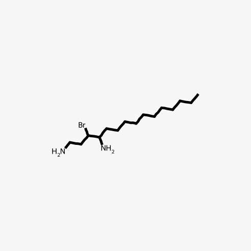 CCCCCCCCCCCC(N)C(Br)CCN